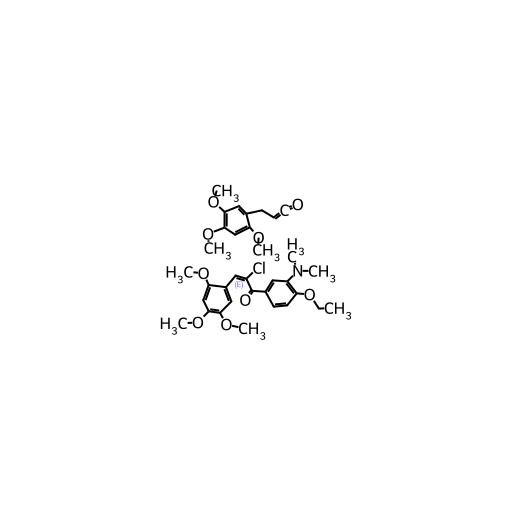 CCOc1ccc(C(=O)/C(Cl)=C\c2cc(OC)c(OC)cc2OC)cc1N(C)C.COc1cc(OC)c(OC)cc1CC=C=O